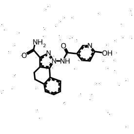 NC(=O)c1nn(NC(=O)c2ccc(O)nc2)c2c1CCc1ccccc1-2